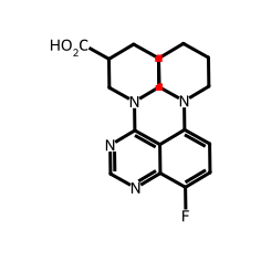 O=C(O)C1CCCN(c2ncnc3c(F)ccc(N4CCCCC4)c23)C1